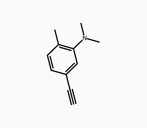 C#Cc1ccc(C)c(N(C)C)c1